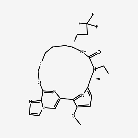 CCN1C(=O)N[C@@H](CCC(F)(F)F)CCCCCOc2nc(cn3ccnc23)-c2nc(ccc2OC)[C@H]1C